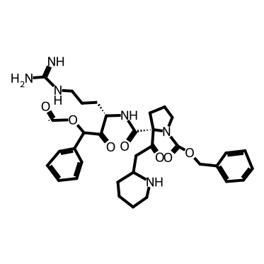 N=C(N)NCCC[C@H](NC(=O)[C@]1(C(=O)CC2CCCCN2)CCCN1C(=O)OCc1ccccc1)C(=O)C(O[C]=O)c1ccccc1